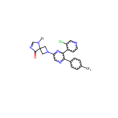 CCN1C=NC(=O)C12CN(c1cnc(-c3ccc(C(F)(F)F)cc3)c(-c3ccncc3Cl)n1)C2